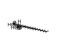 CCC=CCC=CCCC=CC=CCC=CCC=CCCC(=O)NC(CCC(=O)O)C(=O)O